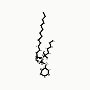 CCCCCCCCCCCCCc1nnc(SC2CCCCC2)n1C(C)(C)CCCCC